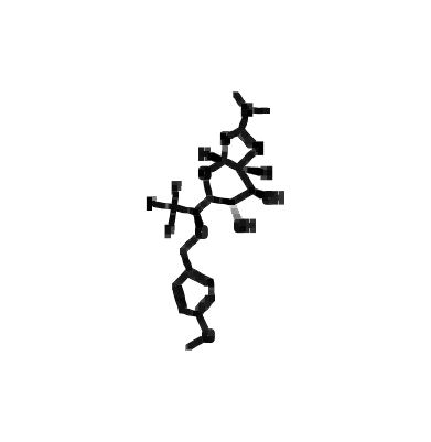 COc1ccc(CO[C@H](C2O[C@@H]3SC(N(C)C)=N[C@@H]3[C@@H](O)[C@@H]2O)C(F)(F)F)cc1